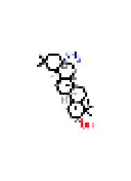 CC1(C)CC[C@]2(N)CC[C@]3(C)C(=CC[C@@H]4[C@@]5(C)CC[C@H](O)C(C)(C)[C@@H]5CC[C@]43C)[C@@H]2C1